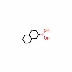 OB(O)C1CCC2CCCCC2C1